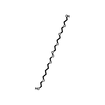 OCCOCCCCCOCOOCCOCCOCCOCCO